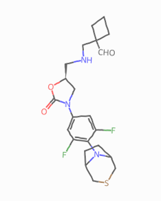 O=CC1(CNC[C@H]2CN(c3cc(F)c(N4C5CCC4CSC5)c(F)c3)C(=O)O2)CCC1